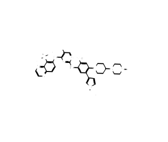 COc1cc(N2CCC(N3CCN(C)CC3)CC2)c(-c2ccn(C)c2)cc1Nc1ncc(Br)c(Nc2ccc3nccnc3c2P(C)(C)=O)n1